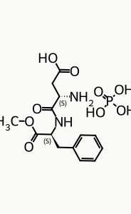 COC(=O)[C@H](Cc1ccccc1)NC(=O)[C@@H](N)CC(=O)O.O=P(O)(O)O